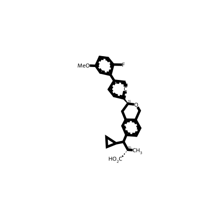 COc1ccc(F)c(-c2ccc([C@@H]3Cc4cc(C(C5CC5)[C@H](C)C(=O)O)ccc4CO3)cc2)c1